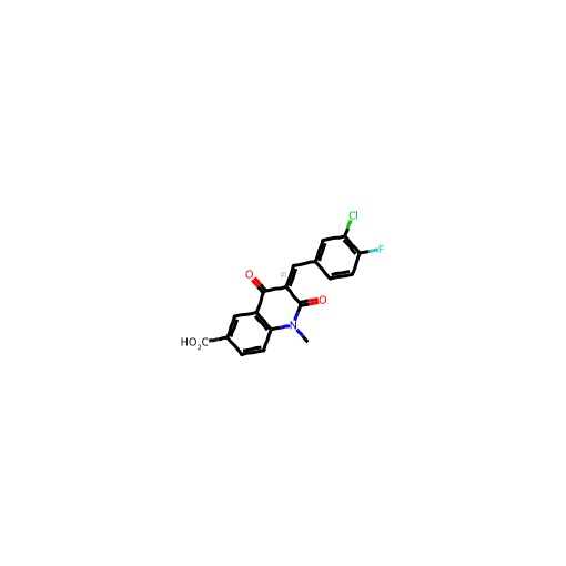 CN1C(=O)/C(=C\c2ccc(F)c(Cl)c2)C(=O)c2cc(C(=O)O)ccc21